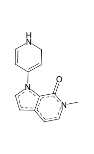 Cn1ccc2ccn(C3=CCNC=C3)c2c1=O